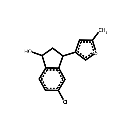 Cc1cc(C2CC(O)c3ccc(Cl)cc32)cs1